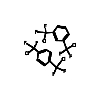 FC(F)(Cl)c1ccc(C(F)(F)Cl)cc1.FC(F)(Cl)c1cccc(C(F)(F)Cl)c1